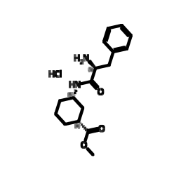 COC(=O)[C@@H]1CCC[C@H](NC(=O)[C@@H](N)Cc2ccccc2)C1.Cl